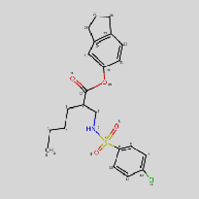 CCCCC(CNS(=O)(=O)c1ccc(Cl)cc1)C(=O)Oc1ccc2c(c1)CCC2